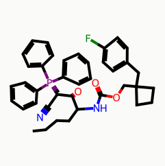 CCCCC(NC(=O)OCC1(Cc2ccc(F)cc2)CCC1)C(=O)C(C#N)=P(c1ccccc1)(c1ccccc1)c1ccccc1